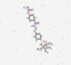 CC1(C)OB(c2ccc(CONC(=O)c3ccc(OC(N)=O)cc3)cc2)OC1(C)C